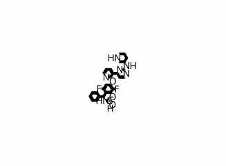 O=[SH](=O)N[C@@H](c1ccccc1)c1cc(F)c(Oc2ncccc2-c2ccnc(N[C@H]3CCCNC3)n2)cc1F